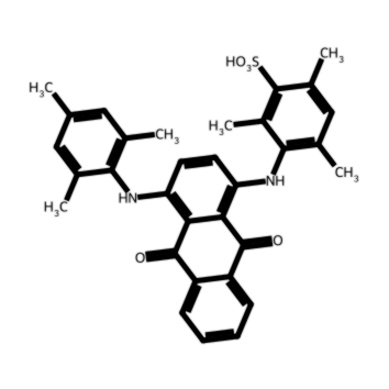 Cc1cc(C)c(Nc2ccc(Nc3c(C)cc(C)c(S(=O)(=O)O)c3C)c3c2C(=O)c2ccccc2C3=O)c(C)c1